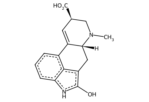 CN1C[C@H](C(=O)O)C=C2c3cccc4[nH]c(O)c(c34)C[C@H]21